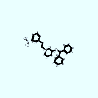 O=[N+]([O-])c1cccc(CCN2CCCC(OC(c3ccccc3)c3ccccc3)C2)c1